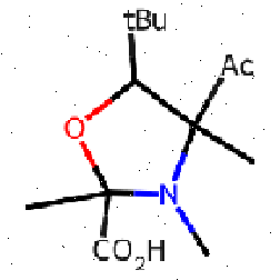 CC(=O)C1(C)C(C(C)(C)C)OC(C)(C(=O)O)N1C